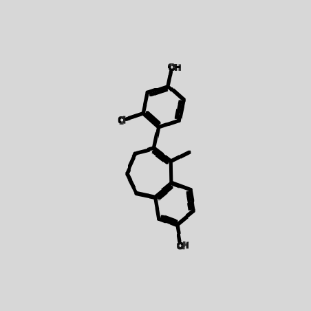 CC1=C(c2ccc(O)cc2Cl)CCCc2cc(O)ccc21